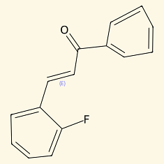 O=C(/C=C/c1ccccc1F)c1ccccc1